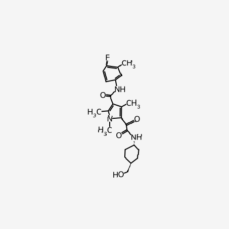 Cc1cc(NC(=O)c2c(C)c(C(=O)C(=O)N[C@H]3CC[C@H](CO)CC3)n(C)c2C)ccc1F